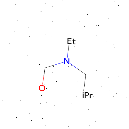 CCN(C[O])CC(C)C